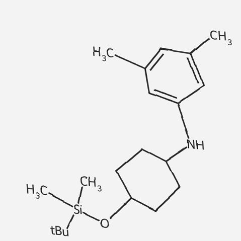 Cc1cc(C)cc(NC2CCC(O[Si](C)(C)C(C)(C)C)CC2)c1